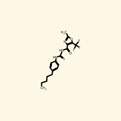 CCCCCc1ccc(NC(=S)NC(=O)c2nc(C)oc2C(F)(F)F)cc1